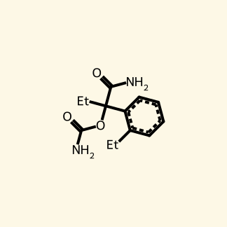 CCc1ccccc1C(CC)(OC(N)=O)C(N)=O